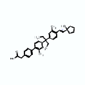 CCC(CC)(c1ccc(/C=C/C2(O)CCCC2)c(C)c1)c1ccc(-c2ccc(CC(=O)O)cc2)c(C)c1